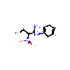 CCC(C(N)NC1=CCC=CC1)[N+](=O)[O-]